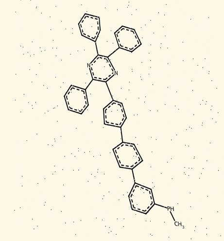 CPc1cccc(-c2ccc(-c3ccc(-c4nc(-c5ccccc5)c(-c5ccccc5)nc4-c4ccccc4)cc3)cc2)c1